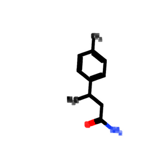 CC(CC(N)=O)c1ccc(C(F)(F)F)cc1